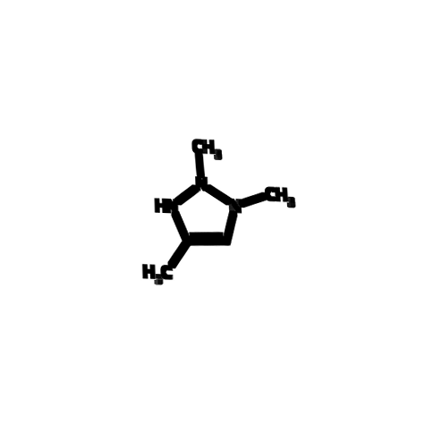 CC1=CN(C)N(C)N1